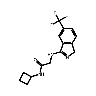 O=C(CNC1=NCc2ccc(C(F)(F)F)cc21)NC1CCC1